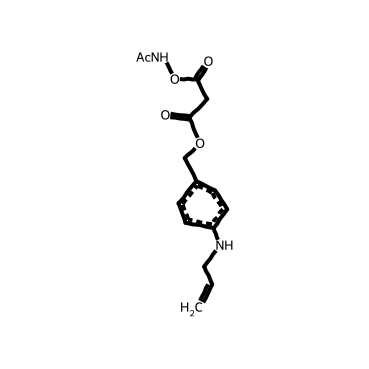 C=CCNc1ccc(COC(=O)CC(=O)ONC(C)=O)cc1